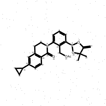 C=C1OB(c2cccc(N3CCc4cc(C5CC5)ccc4C3=O)c2COC(C)=O)OC1(C)C